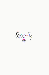 C#Cc1c(F)ccc2cc(O)cc(-c3ncc4c(N5CC6CCCC5CN6)nc(OC[C@@]56CCCN5C[C@H](SCC)C6)nc4c3F)c12